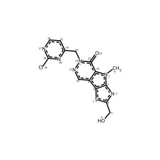 Cn1c2nc(CO)sc2c2cnn(Cc3ccnc(Cl)n3)c(=O)c21